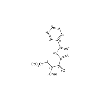 CCOC(=O)CN(OC)C(=O)c1cnc(-c2cccnc2)s1